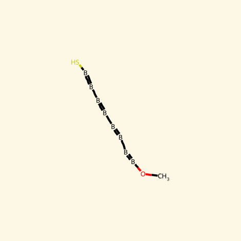 COB=BB=BB=BB=BS